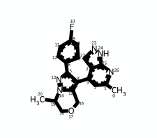 Cc1cc(-c2c(-c3ccc(F)cc3)nn3c2COCC3C)c2cn[nH]c2n1